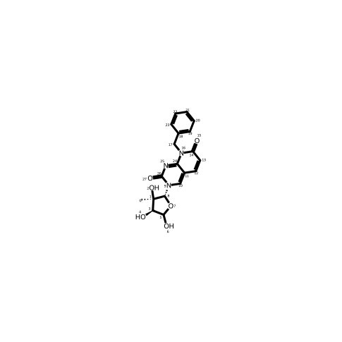 C[C@@]1(O)[C@H](O)C(O)O[C@H]1n1cc2ccc(=O)n(Cc3ccccc3)c2nc1=O